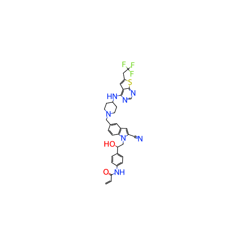 C=CC(=O)Nc1ccc(C(O)Cn2c(C#N)cc3cc(CN4CCC(Nc5ncnc6sc(CC(F)(F)F)cc56)CC4)ccc32)cc1